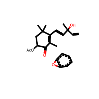 C=CC(C)(O)C=CC1=C(C)C(=O)C(OC(C)=O)CC1(C)C.c1ccc2c(c1)O2